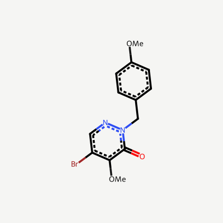 COc1ccc(Cn2ncc(Br)c(OC)c2=O)cc1